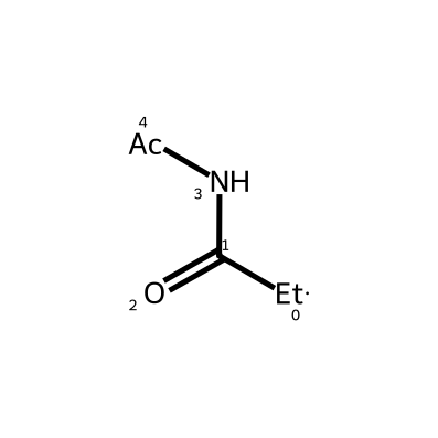 C[CH]C(=O)NC(C)=O